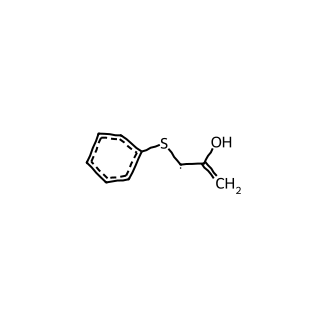 C=C(O)[CH]Sc1ccccc1